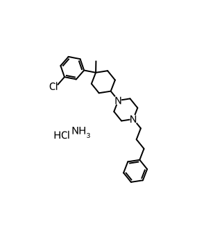 CC1(c2cccc(Cl)c2)CCC(N2CCN(CCCc3ccccc3)CC2)CC1.Cl.N